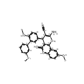 COc1cccc(-c2cc(C3C(C#N)=C(N)Oc4c3c(=O)oc3ccc(OC)cc43)ccc2OC)c1